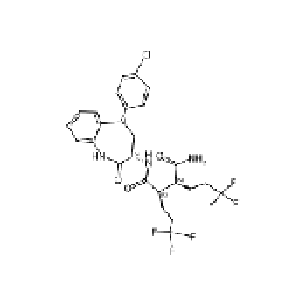 NC(=O)[C@@H](CCC(F)(F)F)[C@@H](CCC(F)(F)F)C(=O)N[C@H]1CN(c2ccc(Cl)cc2)c2ccccc2NC1=O